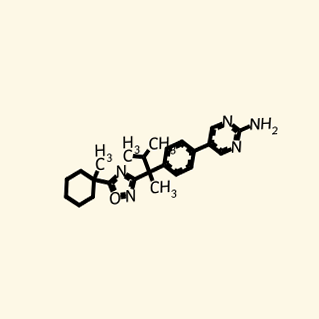 CC(C)C(C)(c1ccc(-c2cnc(N)nc2)cc1)c1noc(C2(C)CCCCC2)n1